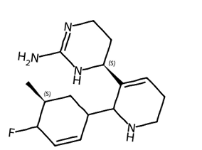 C[C@H]1CC(C2NCCC=C2[C@@H]2CCN=C(N)N2)C=CC1F